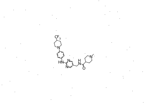 CN1CCC(C(=O)NCc2cnc(Nc3ccc(N4CCC(C(F)(F)F)CC4)cc3)nc2)CC1